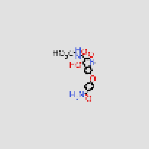 Cn1c(=O)c(C(=O)NCC(=O)O)c(O)c2ccc(Oc3ccc(C(N)=O)cc3)cc21